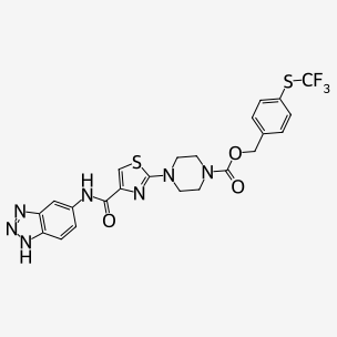 O=C(Nc1ccc2[nH]nnc2c1)c1csc(N2CCN(C(=O)OCc3ccc(SC(F)(F)F)cc3)CC2)n1